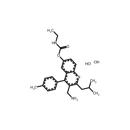 CCNC(=O)Oc1ccc2nc(CC(C)C)c(CN)c(-c3ccc(C)cc3)c2c1.Cl.Cl